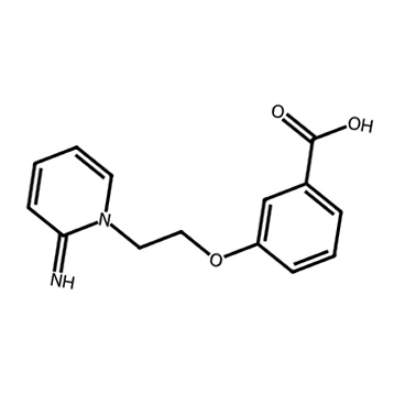 N=c1ccccn1CCOc1cccc(C(=O)O)c1